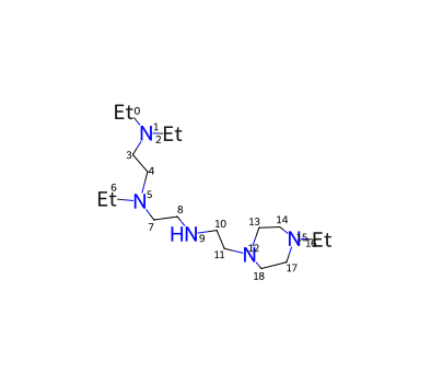 CCN(CC)CCN(CC)CCNCCN1CCN(CC)CC1